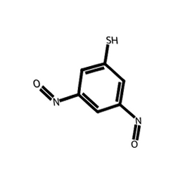 O=Nc1cc(S)cc(N=O)c1